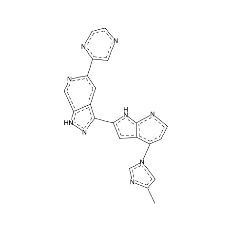 Cc1cn(-c2ccnc3[nH]c(-c4n[nH]c5cnc(-c6cnccn6)cc45)cc23)cn1